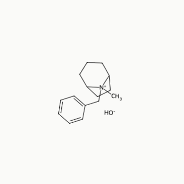 C[N+]1(Cc2ccccc2)C2CCCC1CC2.[OH-]